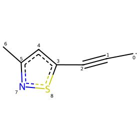 [CH2]C#Cc1cc(C)ns1